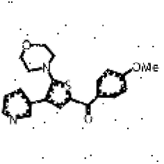 COc1ccc(C(=O)c2cc(-c3cccnc3)c(N3CCOCC3)s2)cc1